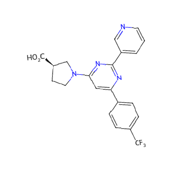 O=C(O)[C@@H]1CCN(c2cc(-c3ccc(C(F)(F)F)cc3)nc(-c3cccnc3)n2)C1